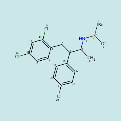 CC(N[S+]([O-])C(C)(C)C)C(Cc1ccc(Cl)cc1Cl)c1ccc(Cl)cc1